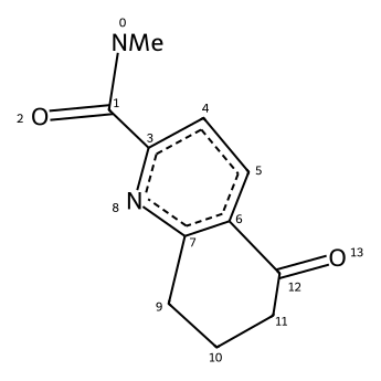 CNC(=O)c1ccc2c(n1)CCCC2=O